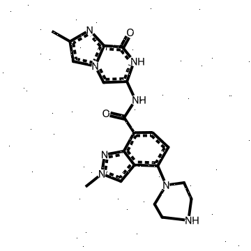 Cc1cn2cc(NC(=O)c3ccc(N4CCNCC4)c4cn(C)nc34)[nH]c(=O)c2n1